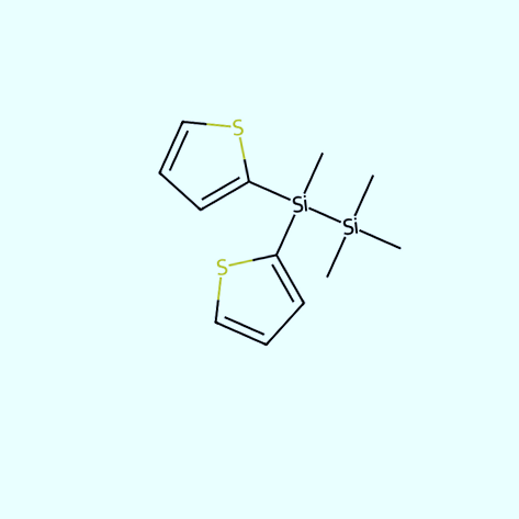 C[Si](C)(C)[Si](C)(c1cccs1)c1cccs1